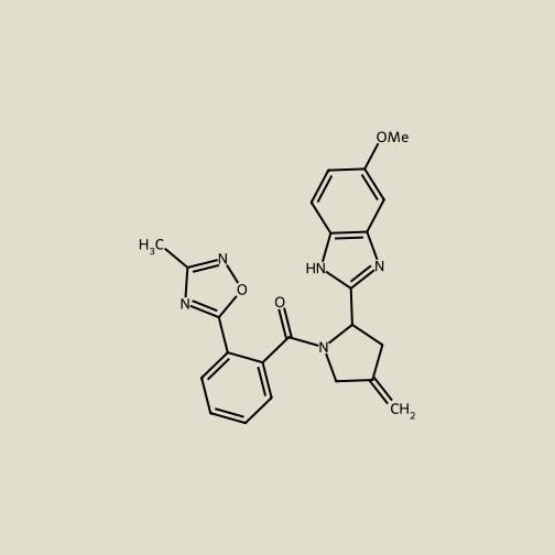 C=C1CC(c2nc3cc(OC)ccc3[nH]2)N(C(=O)c2ccccc2-c2nc(C)no2)C1